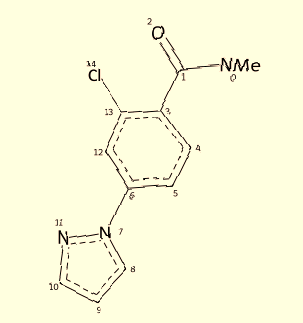 CNC(=O)c1ccc(-n2cccn2)cc1Cl